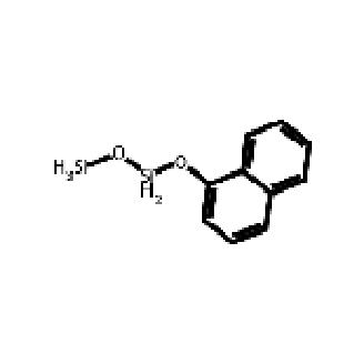 [SiH3]O[SiH2]Oc1cccc2ccccc12